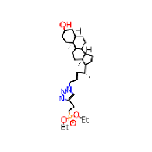 CCOP(=O)(CCc1cn(CCC[C@@H](C)C2CC[C@H]3C4CC[C@@H]5C[C@H](O)CC[C@]5(C)C4CC[C@]23C)nn1)OCC